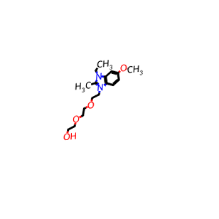 CCn1c(C)[n+](CCOCCOCCO)c2ccc(OC)cc21